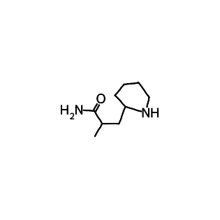 CC(CC1CCCCN1)C(N)=O